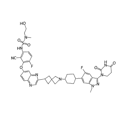 CN(CCO)S(=O)(=O)Nc1ccc(F)c(Oc2ccc3ncc(C4CC5(C4)CN(C4CCC(c6cc7c(cc6F)c(N6CCC(=O)NC6=O)nn7C)CC4)C5)nc3c2)c1C#N